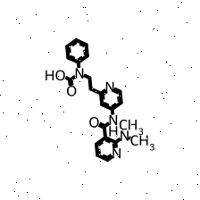 CN(C)c1ncccc1C(=O)Nc1ccnc(CCN(C(=O)O)c2ccccc2)c1